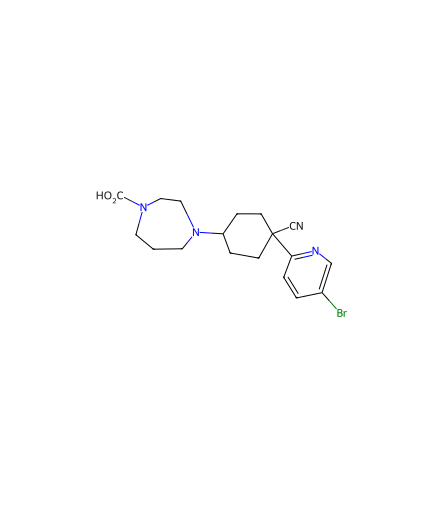 N#CC1(c2ccc(Br)cn2)CCC(N2CCCN(C(=O)O)CC2)CC1